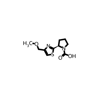 COCc1csc([C@H]2CCCN2C(=O)O)n1